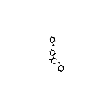 O=C(Nc1ccc(C2=C(Cl)CCN(Cc3ccccc3)C2)cc1)c1c(F)cccc1F